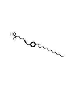 CCCCCCCCCCCOCc1ccc(CC#CCCCC(=O)O)cc1